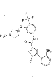 CN1CC[C@@H](Oc2cc(N[S+]([O-])c3cc(-c4ccccc4N)c(Cl)s3)ccc2C(F)(F)F)C1